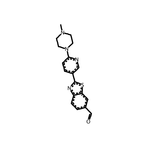 CN1CCN(c2ccc(-c3nc4ccc(C=O)cc4s3)cn2)CC1